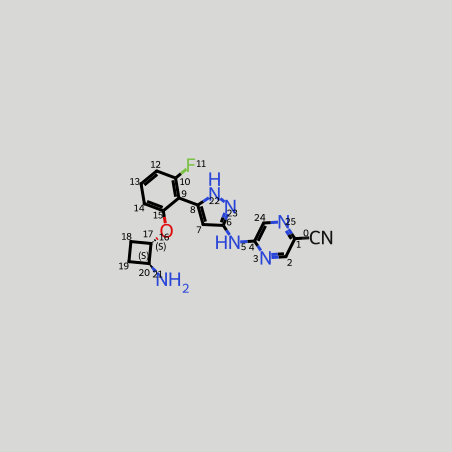 N#Cc1cnc(Nc2cc(-c3c(F)cccc3O[C@H]3CC[C@@H]3N)[nH]n2)cn1